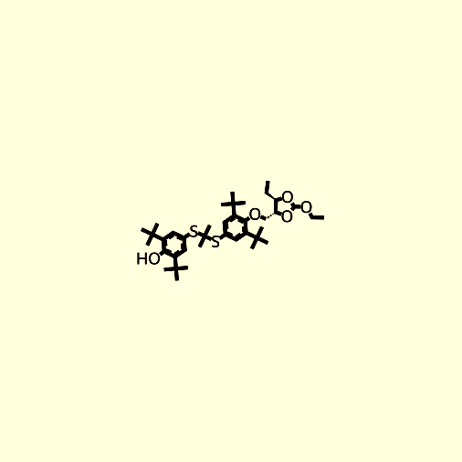 CCOC1O[C@H](CC)[C@@H](COc2c(C(C)(C)C)cc(SC(C)(C)Sc3cc(C(C)(C)C)c(O)c(C(C)(C)C)c3)cc2C(C)(C)C)O1